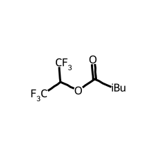 CCC(C)C(=O)OC(C(F)(F)F)C(F)(F)F